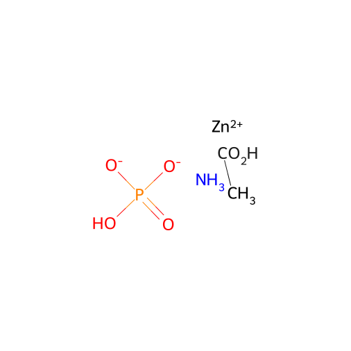 CC(=O)O.N.O=P([O-])([O-])O.[Zn+2]